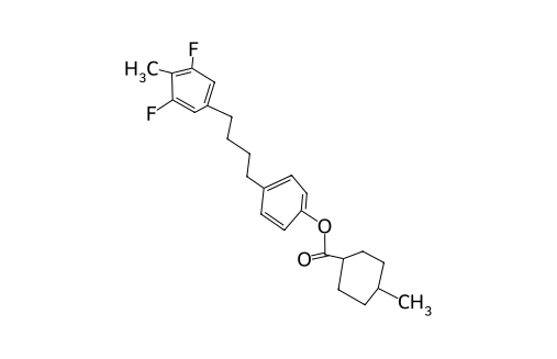 Cc1c(F)cc(CCCCc2ccc(OC(=O)C3CCC(C)CC3)cc2)cc1F